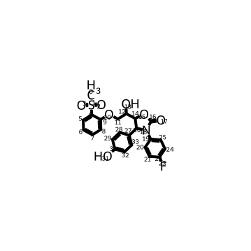 CS(=O)(=O)c1ccccc1OCC(O)C1OC(=O)N(c2ccc(F)cc2)C1c1ccc(O)cc1